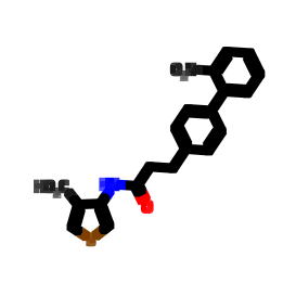 O=C(CCc1ccc(-c2ccccc2[N+](=O)[O-])cc1)Nc1cscc1C(=O)O